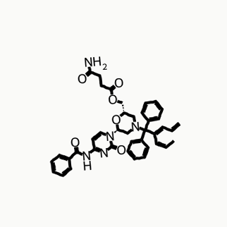 C=C/C=C(\C=C/C)C(c1ccccc1)(c1ccccc1)N1C[C@@H](COC(=O)CCC(N)=O)O[C@@H](n2ccc(NC(=O)c3ccccc3)nc2=O)C1